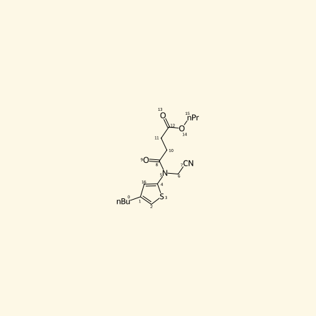 CCCCc1csc(N(CC#N)C(=O)CCC(=O)OCCC)c1